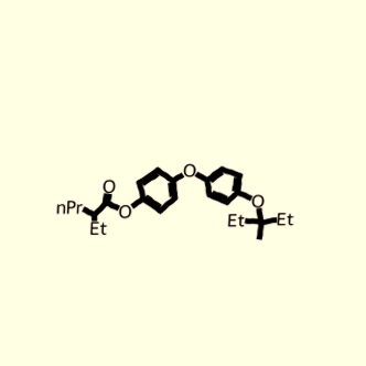 CCCC(CC)C(=O)Oc1ccc(Oc2ccc(OC(C)(CC)CC)cc2)cc1